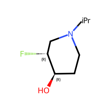 CC(C)N1CC[C@@H](O)[C@H](F)C1